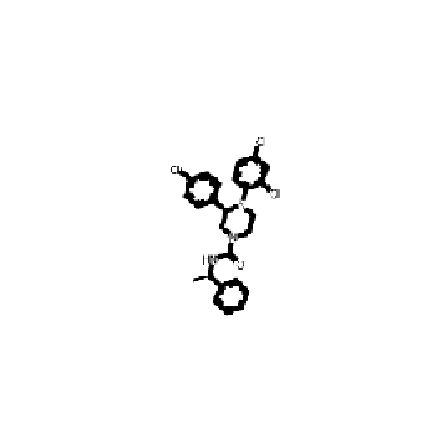 C[C@@H](NC(=O)N1CCN(c2ccc(Cl)cc2Cl)C(c2ccc(Cl)cc2)C1)c1ccccc1